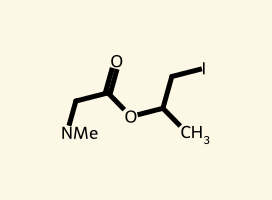 CNCC(=O)OC(C)CI